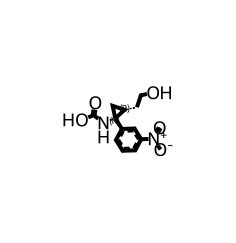 O=C(O)N[C@]1(c2cccc([N+](=O)[O-])c2)C[C@@H]1CCO